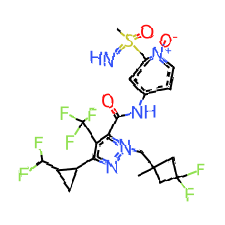 CC1(Cn2nc(C3CC3C(F)F)c(C(F)(F)F)c2C(=O)Nc2cc[n+]([O-])c(S(C)(=N)=O)c2)CC(F)(F)C1